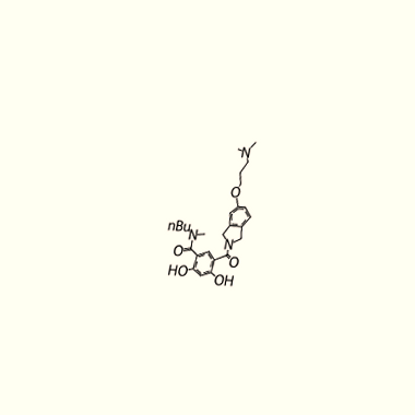 CCCCN(C)C(=O)c1cc(C(=O)N2Cc3ccc(OCCCN(C)C)cc3C2)c(O)cc1O